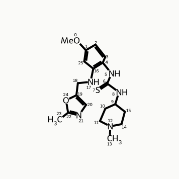 COc1ccc(NC(=S)NC2CCN(C)CC2)c(NCc2cnc(C)o2)c1